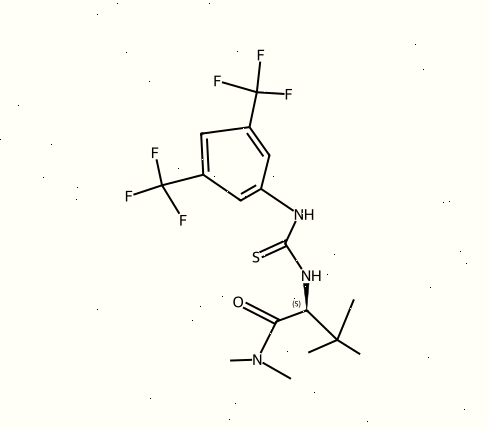 CN(C)C(=O)[C@@H](NC(=S)Nc1cc(C(F)(F)F)cc(C(F)(F)F)c1)C(C)(C)C